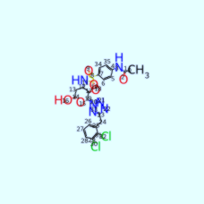 CC(=O)Nc1ccc(S(=O)(=O)NC(CC(=O)O)C(=O)Cn2nnc(Cc3cccc(Cl)c3Cl)n2)cc1